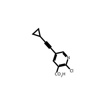 O=C(O)c1cc(C#CC2CC2)cnc1Cl